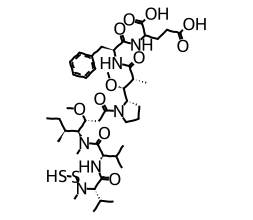 CC[C@H](C)[C@@H]([C@@H](CC(=O)N1CCC[C@H]1[C@H](OC)[C@@H](C)C(=O)N[C@@H](Cc1ccccc1)C(=O)NC(CCC(=O)O)C(=O)O)OC)N(C)C(=O)[C@@H](NC(=O)[C@H](C(C)C)N(C)SS)C(C)C